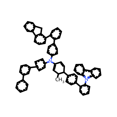 CC1C=C(N(c2ccc(-c3cccc(-c4ccccc4)c3)cc2)c2ccc(-c3ccccc3-c3cccc4c3Cc3ccccc3-4)cc2)C=CC1c1ccc(-c2ccccc2-n2c3ccccc3c3ccccc32)cc1